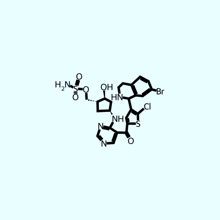 NS(=O)(=O)OC[C@H]1C[C@@H](Nc2ncncc2C(=O)c2cc(C3NCCc4ccc(Br)cc43)c(Cl)s2)C[C@@H]1O